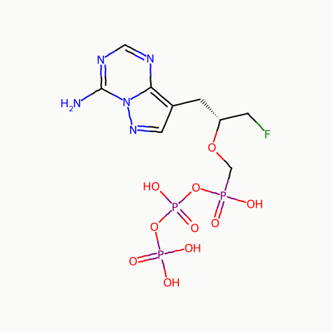 Nc1ncnc2c(C[C@H](CF)OCP(=O)(O)OP(=O)(O)OP(=O)(O)O)cnn12